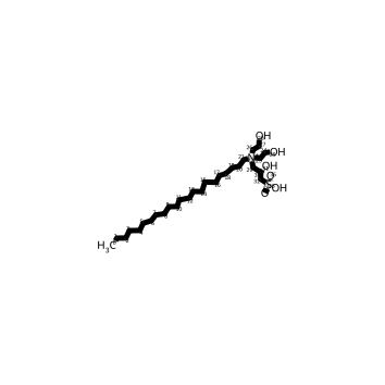 CCCCCCCCCCCCCCCCCCCCCC[N+](CCO)(CCO)CC(O)CS(=O)(=O)O